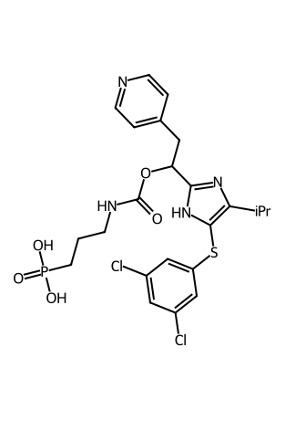 CC(C)c1nc(C(Cc2ccncc2)OC(=O)NCCCP(=O)(O)O)[nH]c1Sc1cc(Cl)cc(Cl)c1